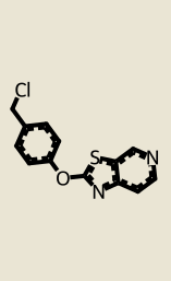 ClCc1ccc(Oc2nc3ccncc3s2)cc1